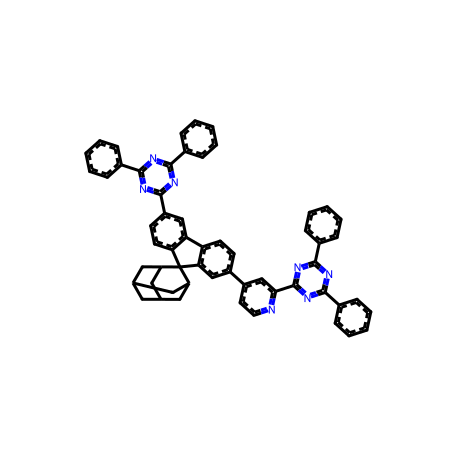 c1ccc(-c2nc(-c3ccccc3)nc(-c3ccc4c(c3)-c3ccc(-c5ccnc(-c6nc(-c7ccccc7)nc(-c7ccccc7)n6)c5)cc3C43C4CC5CC(C4)CC3C5)n2)cc1